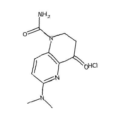 CN(C)c1ccc2c(n1)C(=O)CCN2C(N)=O.Cl